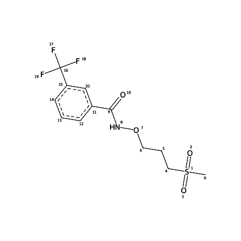 CS(=O)(=O)CCCONC(=O)c1cccc(C(F)(F)F)c1